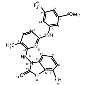 COc1cc(Nc2ncc(C)c(Nn3c(=O)oc4c(C)cccc43)n2)cc(C(F)(F)F)c1